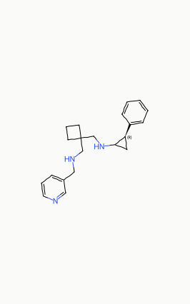 c1ccc([C@H]2CC2NCC2(CNCc3cccnc3)CCC2)cc1